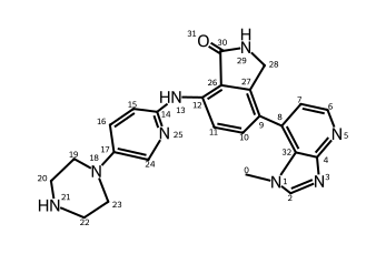 Cn1cnc2nccc(-c3ccc(Nc4ccc(N5CCNCC5)cn4)c4c3CNC4=O)c21